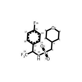 O=S(=O)(CC1CCOCC1)NC(c1ccc(F)cc1)C(F)(F)F